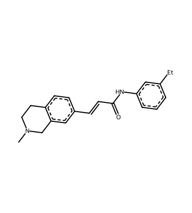 CCc1cccc(NC(=O)/C=C/c2ccc3c(c2)CN(C)CC3)c1